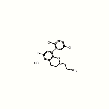 Cl.NCC[C@H]1CCc2cc(F)cc(-c3cc(Cl)ccc3Cl)c2O1